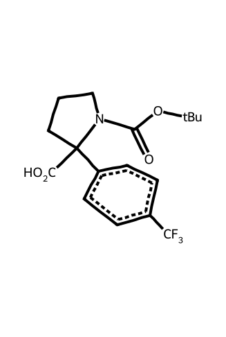 CC(C)(C)OC(=O)N1CCCC1(C(=O)O)c1ccc(C(F)(F)F)cc1